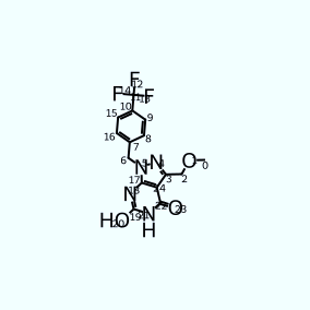 COCc1nn(Cc2ccc(C(F)(F)F)cc2)c2nc(O)[nH]c(=O)c12